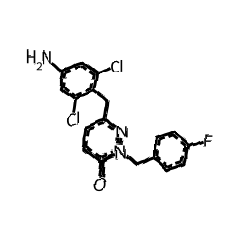 Nc1cc(Cl)c(Cc2ccc(=O)n(Cc3ccc(F)cc3)n2)c(Cl)c1